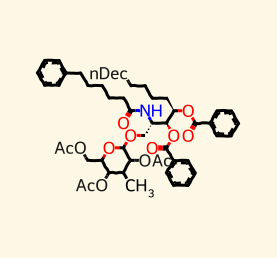 CCCCCCCCCCCCCC[C@@H](OC(=O)c1ccccc1)[C@@H](OC(=O)c1ccccc1)[C@H](COC1OC(COC(C)=O)C(OC(C)=O)C(C)C1OC(C)=O)NC(=O)CCCCCc1ccccc1